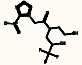 O=C(Cn1ccnc1[N+](=O)[O-])N(CCO)CC(O)C(F)(F)F